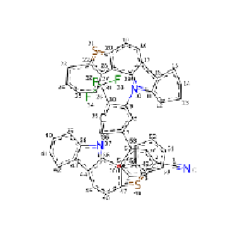 N#Cc1cccc(-c2cc(-n3c4ccccc4c4ccc5sc6ccccc6c5c43)c(C(F)(F)F)cc2-n2c3ccccc3c3ccc4sc5ccccc5c4c32)c1